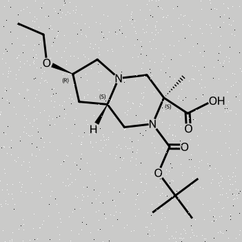 CCO[C@@H]1C[C@H]2CN(C(=O)OC(C)(C)C)[C@](C)(C(=O)O)CN2C1